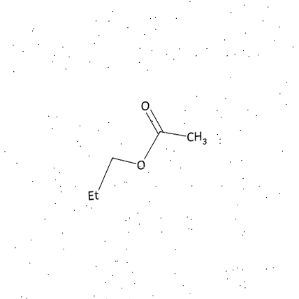 CCCOC(C)=O